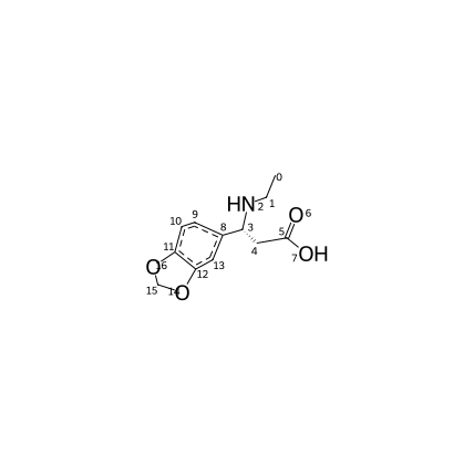 CCN[C@H](CC(=O)O)c1ccc2c(c1)OCO2